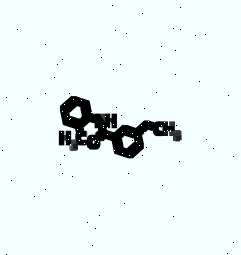 CCc1cccc(C(=O)Nc2ccccc2C)c1